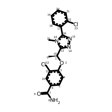 C[C@H](Oc1ccc(C(N)=O)cc1Cl)c1nnc(-c2ccccc2Cl)n1C